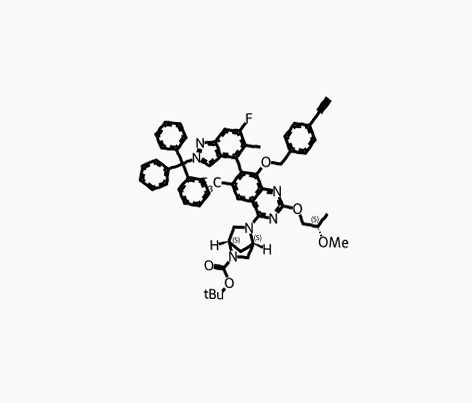 C#Cc1ccc(COc2c(-c3c(C)c(F)cc4nn(C(c5ccccc5)(c5ccccc5)c5ccccc5)cc34)c(C(F)(F)F)cc3c(N4C[C@@H]5C[C@H]4CN5C(=O)OC(C)(C)C)nc(OC[C@H](C)OC)nc23)cc1